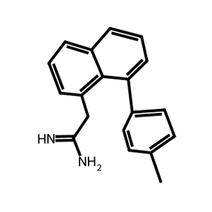 Cc1ccc(-c2cccc3cccc(CC(=N)N)c23)cc1